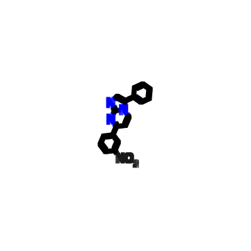 O=[N+]([O-])c1cccc(-c2ccn3c(-c4ccccc4)cnc3n2)c1